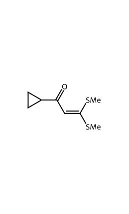 CSC(=CC(=O)C1CC1)SC